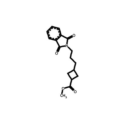 COC(=O)C1CC(CCCN2C(=O)c3ccccc3C2=O)C1